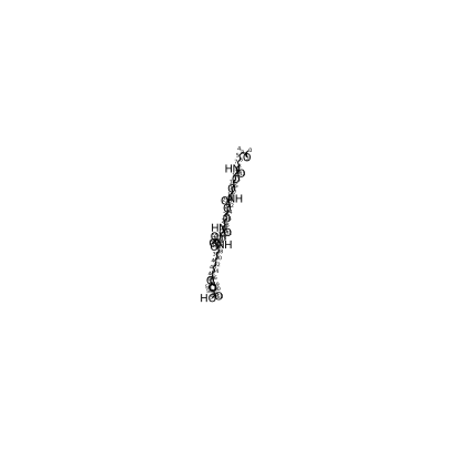 CC(=O)[C@@H](C)CCCCNC(=O)COCCOCCNC(=O)COCCOCCNC(=O)CC[C@H](NC(=O)CCCCCCCCCOc1ccc(C(=O)O)cc1)C(=O)O